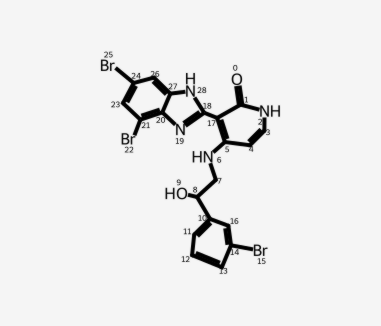 O=c1[nH]ccc(NCC(O)c2cccc(Br)c2)c1-c1nc2c(Br)cc(Br)cc2[nH]1